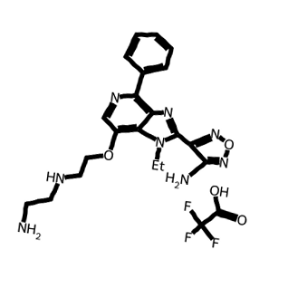 CCn1c(-c2nonc2N)nc2c(-c3ccccc3)ncc(OCCNCCN)c21.O=C(O)C(F)(F)F